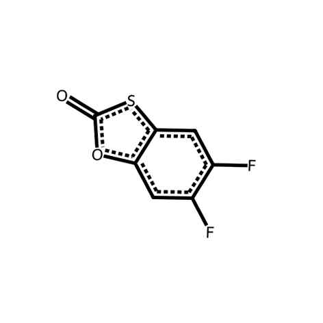 O=c1oc2cc(F)c(F)cc2s1